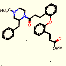 COC(=O)C=Cc1ccccc1Oc1ccccc1CCC(=O)N1CCN(C(=O)O)CC1Cc1ccccc1